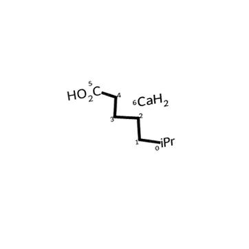 CC(C)CCCCC(=O)O.[CaH2]